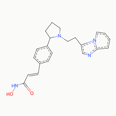 O=C(C=Cc1ccc(C2CCCN2CCc2cnc3ccccn23)cc1)NO